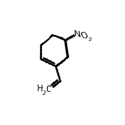 C=CC1=CCCC([N+](=O)[O-])C1